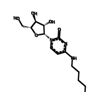 CCCCCNc1ccn([C@@H]2O[C@H](CO)[C@@H](O)[C@@H]2O)c(=O)n1